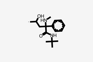 [CH2]C(O)CC(NC)(C(=O)NC(C)(C)C)c1ccccc1